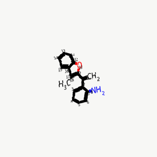 C=C(c1ccccc1N)c1oc2ccccc2c1C